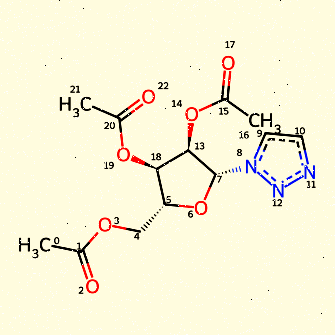 CC(=O)OC[C@H]1O[C@@H](n2ccnn2)[C@H](OC(C)=O)[C@@H]1OC(C)=O